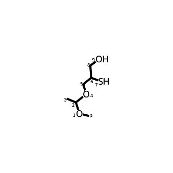 COC(C)OCC(S)CO